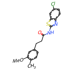 COc1cc(CCC(=O)Nc2nc3ccc(Cl)cc3s2)ccc1C